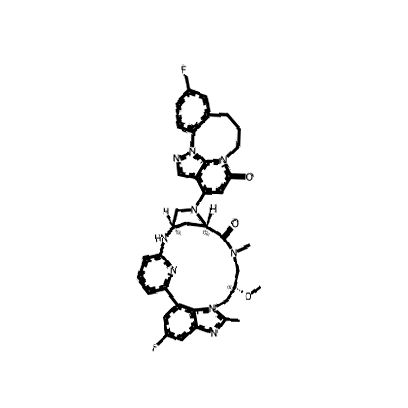 CO[C@H]1CN(C)C(=O)[C@@H]2C[C@@H](CN2c2cc(=O)n3c4c2cnn4-c2ccc(F)cc2CCC3)Nc2cccc(n2)-c2cc(F)cc3nc(C)n(c23)C1